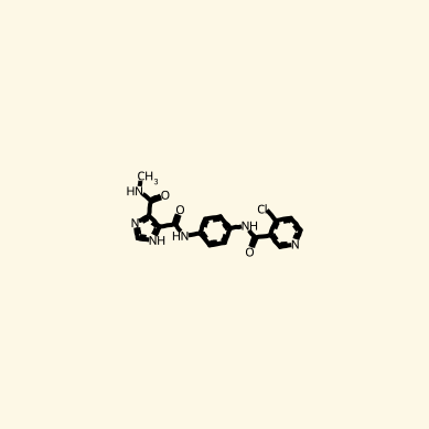 CNC(=O)c1nc[nH]c1C(=O)Nc1ccc(NC(=O)c2cnccc2Cl)cc1